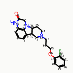 O=C1CN2c3c(cccc3C3CN(CCCOc4ccccc4F)CCC32)N1